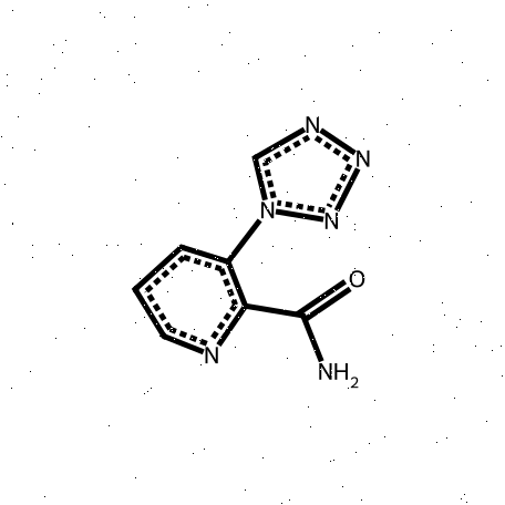 NC(=O)c1ncccc1-n1cnnn1